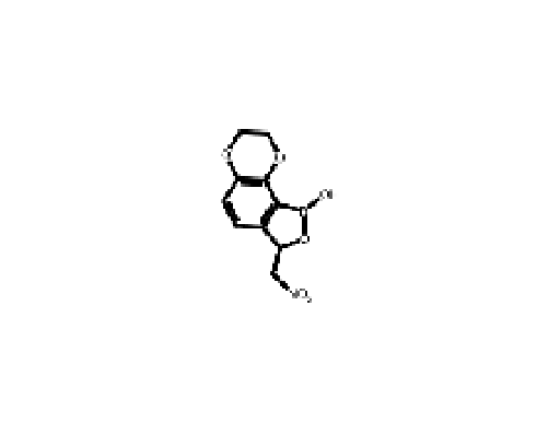 O=[N+]([O-])CC1OB(O)c2c1ccc1c2OCCO1